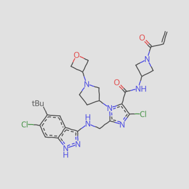 C=CC(=O)N1CC(NC(=O)c2c(Cl)nc(CNc3n[nH]c4cc(Cl)c(C(C)(C)C)cc34)n2C2CCN(C3COC3)C2)C1